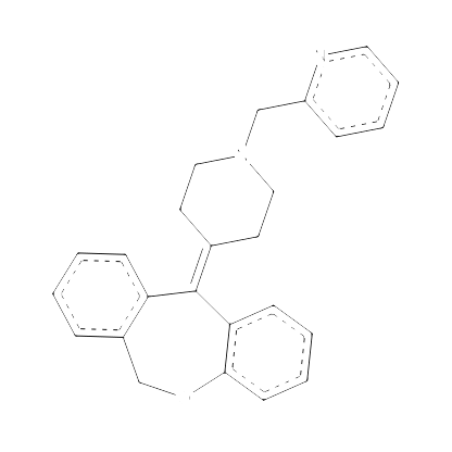 c1ccc(CN2CCC(=C3c4ccccc4COc4ccccc43)CC2)nc1